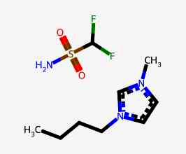 CCCC[n+]1ccn(C)c1.NS(=O)(=O)C(F)F